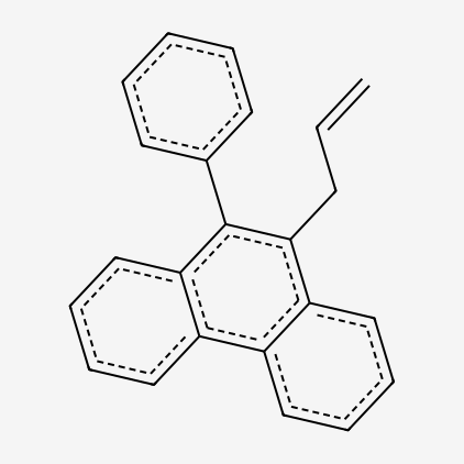 C=CCc1c(-c2ccccc2)c2ccccc2c2ccccc12